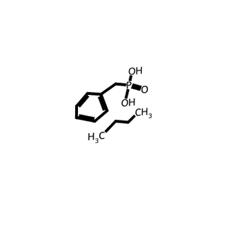 CCCC.O=P(O)(O)Cc1ccccc1